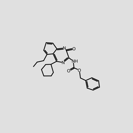 CCCc1cccc2nc(=O)c(NC(=O)OCc3ccccc3)nc(C3CCCCC3)c12